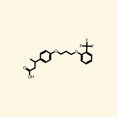 CC(CC(=O)O)c1ccc(OCCCOc2ccccc2C(F)(F)F)cc1